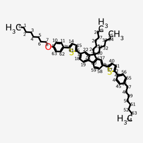 CCCCCCCCOc1ccc(-c2ccc(-c3ccc4c(c3)C(CCCCCC)(CCCCCC)c3cc(-c5ccc(-c6ccc(CCCCCCCC)cc6)s5)ccc3-4)s2)cc1